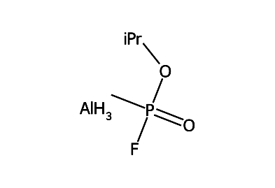 CC(C)OP(C)(=O)F.[AlH3]